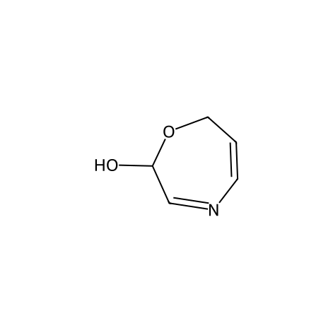 OC1C=NC=CCO1